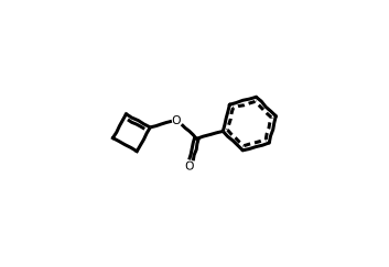 O=C(OC1=CCC1)c1ccccc1